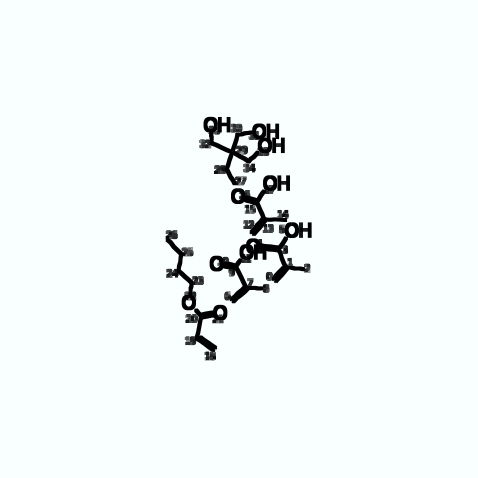 C=C(C)C(=O)O.C=C(C)C(=O)O.C=C(C)C(=O)O.C=CC(=O)OCCCC.CCC(CO)(CO)CO